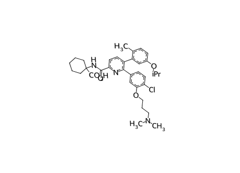 Cc1ccc(OC(C)C)cc1-c1ccc(C(=O)NC2(C(=O)O)CCCCC2)nc1-c1ccc(Cl)c(OCCCN(C)C)c1